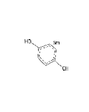 Oc1ccc(O)cc1.[Sm]